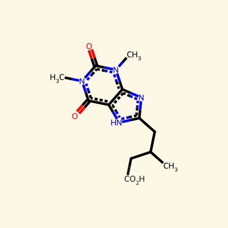 CC(CC(=O)O)Cc1nc2c([nH]1)c(=O)n(C)c(=O)n2C